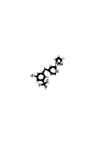 Fc1cc(Cc2ccnc(-n3cc[c]n3)c2)cc(C(F)(F)F)c1